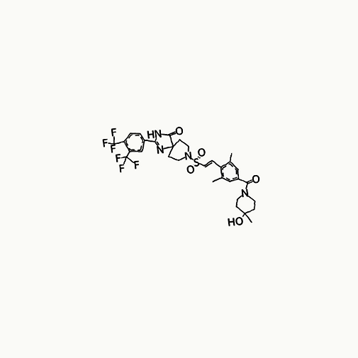 Cc1cc(C(=O)N2CCC(C)(O)CC2)cc(C)c1/C=C/S(=O)(=O)N1CCC2(CC1)N=C(c1ccc(C(F)(F)F)c(C(F)(F)F)c1)NC2=O